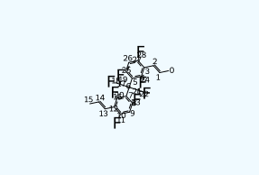 CC=Cc1cc(C(c2ccc(F)c(C=CC)c2)(C(F)(F)F)C(F)(F)F)ccc1F